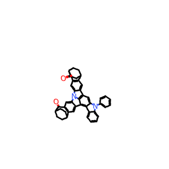 O=C1c2cc3c(cc2C2CCC1CC2)c1cc2c(c4ccccc4n2-c2ccccc2)c2c4cc5c(cc4n3c12)C(=O)C1CCC5CC1